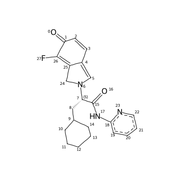 O=C1C=CC2=CN([C@@H](CC3CCCCC3)C(=O)Nc3ccccn3)CC2=C1F